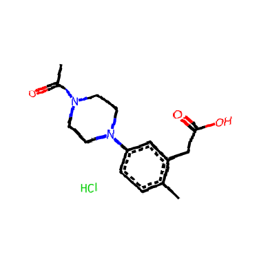 CC(=O)N1CCN(c2ccc(C)c(CC(=O)O)c2)CC1.Cl